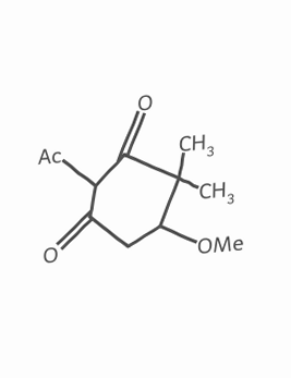 COC1CC(=O)C(C(C)=O)C(=O)C1(C)C